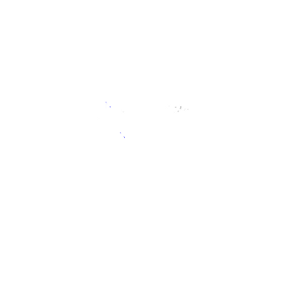 COCC[C@@]1(C)CN(Cc2ccccc2)CCN1